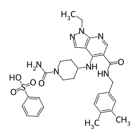 CCn1ncc2c(NC3CCN(C(N)=O)CC3)c(C(=O)NCc3ccc(C)c(C)c3)cnc21.O=S(=O)(O)c1ccccc1